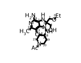 CCOCC1(CO)Nc2c(N)nc(C)c(C)c2N1NC1CCN(C(C)=O)CC1